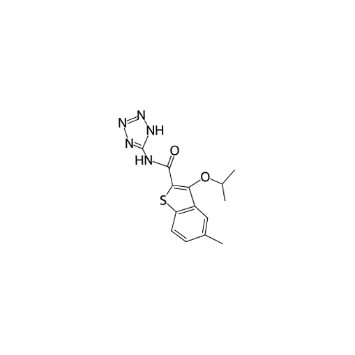 Cc1ccc2sc(C(=O)Nc3nnn[nH]3)c(OC(C)C)c2c1